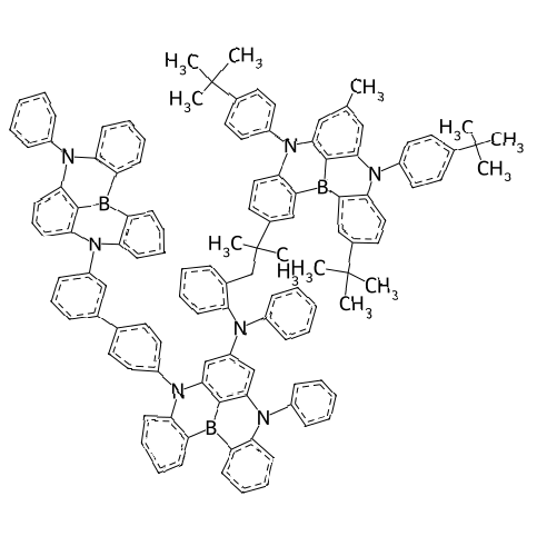 Cc1cc2c3c(c1)N(c1ccc(C(C)(C)C)cc1)c1ccc(C(C)(C)Cc4ccccc4N(c4ccccc4)c4cc5c6c(c4)N(c4ccc(-c7cccc(N8c9ccccc9B9c%10ccccc%10N(c%10ccccc%10)c%10cccc8c%109)c7)cc4)c4ccccc4B6c4ccccc4N5c4ccccc4)cc1B3c1cc(C(C)(C)C)ccc1N2c1ccc(C(C)(C)C)cc1